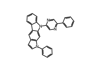 c1ccc(-c2cnc(-n3c4ccccc4c4cc5ccn(-c6ccccc6)c5cc43)cn2)cc1